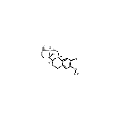 C[C@]12CC[C@@H]3c4cc(I)c(ON=O)cc4CC[C@H]3[C@@H]1CCC2=O